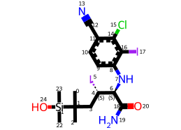 CC(C)(C[C@H](I)[C@@H](Nc1ccc(C#N)c(Cl)c1I)C(N)=O)[Si](C)(C)O